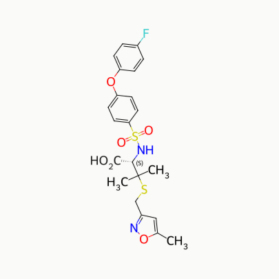 Cc1cc(CSC(C)(C)[C@@H](NS(=O)(=O)c2ccc(Oc3ccc(F)cc3)cc2)C(=O)O)no1